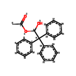 CC(=O)OC(O)C(c1ccccc1)(c1ccccc1)c1ccccc1